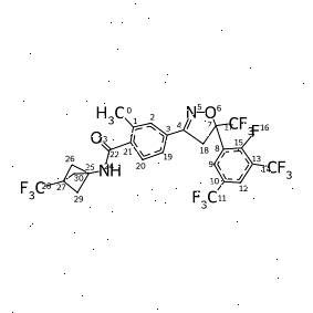 Cc1cc(C2=NOC(c3cc(C(F)(F)F)cc(C(F)(F)F)c3F)(C(F)(F)F)C2)ccc1C(=O)NC12CC(C(F)(F)F)(C1)C2